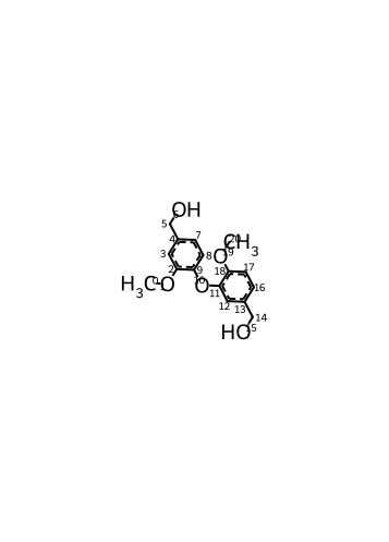 COc1cc(CO)ccc1Oc1cc(CO)ccc1OC